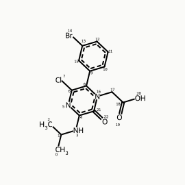 CC(C)Nc1nc(Cl)c(-c2cccc(Br)c2)n(CC(=O)O)c1=O